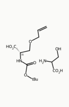 C=CCOC[C@H](NC(=O)OC(C)(C)C)C(=O)O.NC(CO)C(=O)O